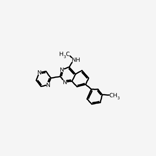 CNc1nc(-c2cnccn2)nc2cc(-c3cccc(C)c3)ccc12